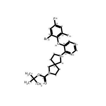 CC(C)(C)OC(=O)N1CCC2(CCN(c3ncncc3Oc3c(F)cc(F)cc3Br)C2)C1